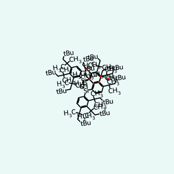 CC(C)(C)CC(C)(C)c1ccc([SiH](O[SiH](c2ccc(C(C)(C)CC(C)(C)C)c(C(C)(C)CC(C)(C)C)c2C(C)(C)CC(C)(C)C)c2ccc(C(C)(C)CC(C)(C)C)c(C(C)(C)CC(C)(C)C)c2C(C)(C)CC(C)(C)C)c2ccc(C(C)(C)CC(C)(C)C)c(C(C)(C)CC(C)(C)C)c2C(C)(C)CC(C)(C)C)c(C(C)(C)CC(C)(C)C)c1C(C)(C)CC(C)(C)C